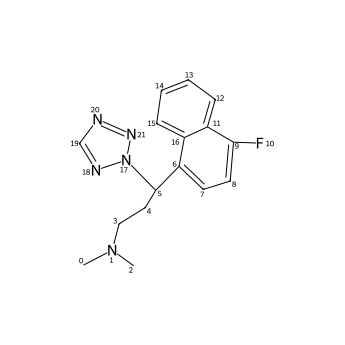 CN(C)CCC(c1ccc(F)c2ccccc12)n1ncnn1